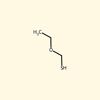 CCOCS